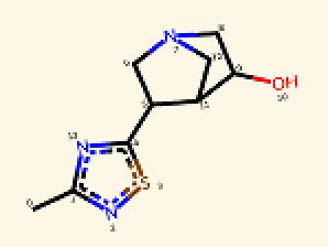 Cc1nsc(C2CN3CC(O)C2C3)n1